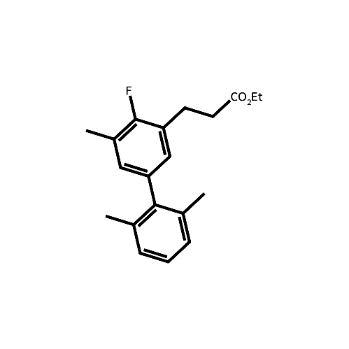 CCOC(=O)CCc1cc(-c2c(C)cccc2C)cc(C)c1F